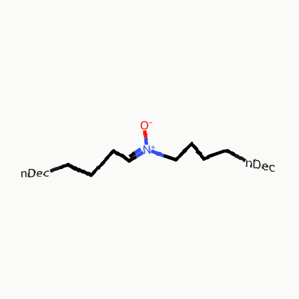 CCCCCCCCCCCCCC=[N+]([O-])CCCCCCCCCCCCCC